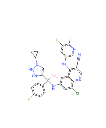 BC(Nc1cc(Cl)c2ncc(C#N)c(Nc3cnc(F)c(F)c3)c2c1)(C1=CN(C2CC2)NN1)c1ccc(F)cc1